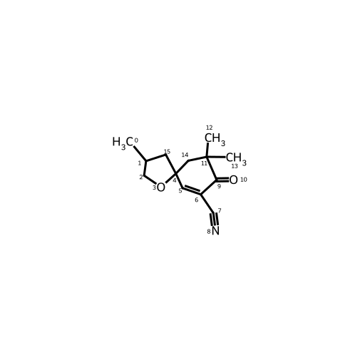 CC1COC2(C=C(C#N)C(=O)C(C)(C)C2)C1